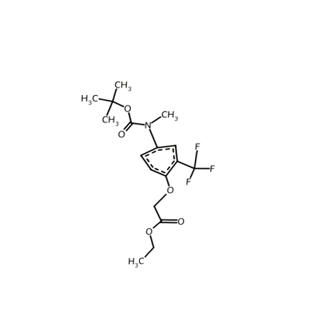 CCOC(=O)COc1ccc(N(C)C(=O)OC(C)(C)C)cc1C(F)(F)F